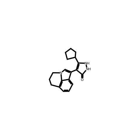 O=c1[nH][nH]c(C2CCCC2)c1-c1cn2c3c(cccc13)CCC2